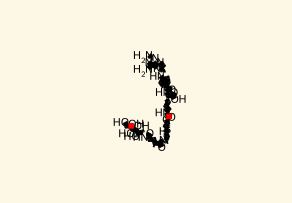 C[C@H](CSSCCOC(=O)NCCCC[C@H](NC(=O)c1ccc(NCc2cnc3nc(N)nc(N)c3n2)cc1)C(=O)O)NC(=O)[C@@H](C)CCC(=O)NC[C@H](O)[C@@H](O)[C@H](O)[C@H](O)CO